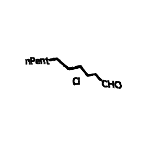 CCCCCCCCCCC=O.[C]